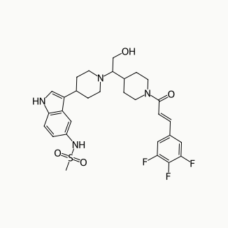 CS(=O)(=O)Nc1ccc2[nH]cc(C3CCN(C(CO)C4CCN(C(=O)/C=C/c5cc(F)c(F)c(F)c5)CC4)CC3)c2c1